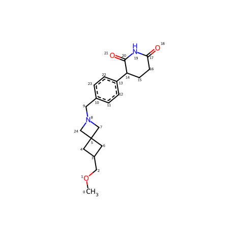 COCC1CC2(C1)CN(Cc1ccc(C3CCC(=O)NC3=O)cc1)C2